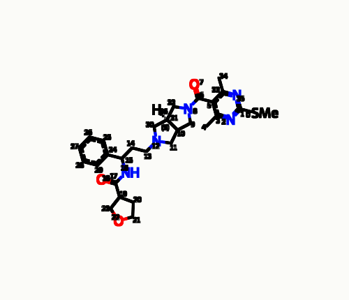 CSc1nc(C)c(C(=O)N2CC3CN(CCC(NC(=O)C4CCOC4)c4ccccc4)C[C@H]3C2)c(C)n1